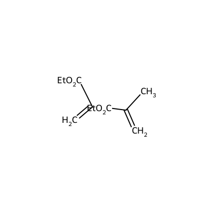 C=C(C)C(=O)OCC.C=CC(=O)OCC